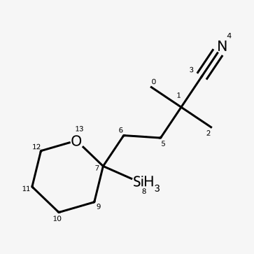 CC(C)(C#N)CCC1([SiH3])CCCCO1